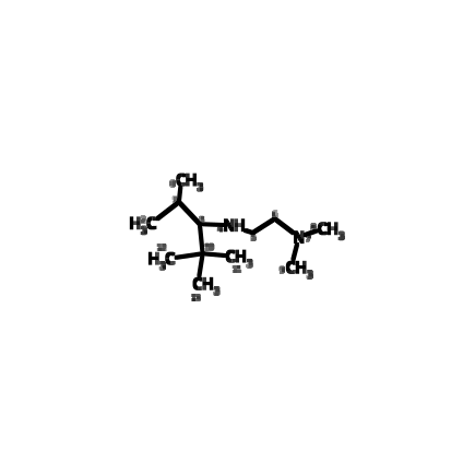 CC(C)C(NCCN(C)C)C(C)(C)C